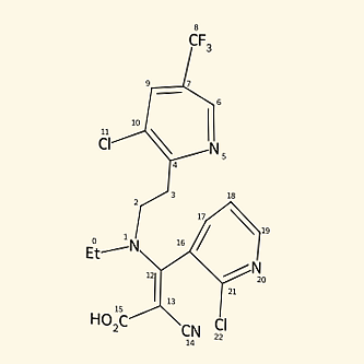 CCN(CCc1ncc(C(F)(F)F)cc1Cl)C(=C(C#N)C(=O)O)c1cccnc1Cl